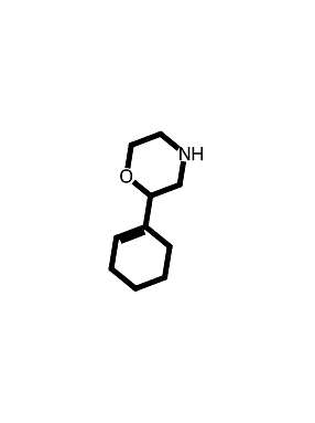 C1=C(C2CNCCO2)CCCC1